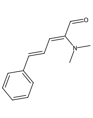 CN(C)C(C=O)=CC=Cc1ccccc1